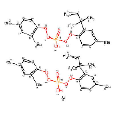 C=CC(C)(C)c1cc(C(C)(C)C)ccc1OOP(=O)(O)OOc1ccc(C(C)(C)C)cc1C(C)(C)C.C=CC(C)(C)c1cc(C(C)(C)C)ccc1OOP(=O)(O)OOc1ccc(C(C)(C)C)cc1C(C)(C)C.[Al]